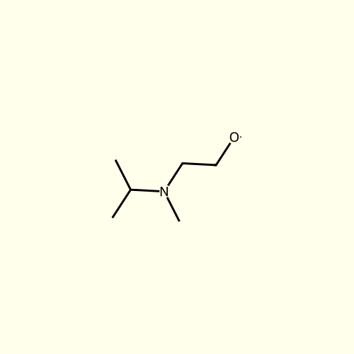 CC(C)N(C)CC[O]